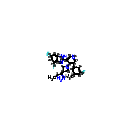 CCC(N)C1CN(c2c(-c3cc(C)cc(F)c3)cncc2-c2nc3c(F)cc(F)cc3[nH]2)C1